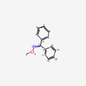 CO/N=C(/c1c[c]ccc1)c1ccccc1